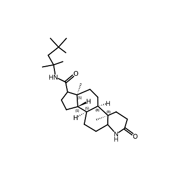 CC(C)(C)CC(C)(C)NC(=O)C1CC[C@H]2[C@@H]3CCC4NC(=O)CC[C@]4(C)[C@@H]3CC[C@]12C